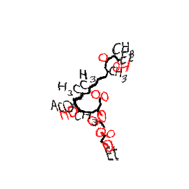 CCOCC(=O)OCC(=O)OC1CCC(C)(O)C(OC(C)=O)/C=C/C(C)C(/C(C)=C/C=C/C(C)CC2OC2C(C)C(O)CC)OC(=O)C1